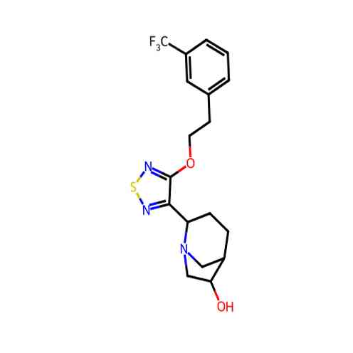 OC1CN2CC1CCC2c1nsnc1OCCc1cccc(C(F)(F)F)c1